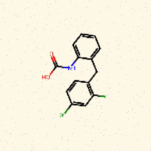 O=C(O)Nc1ccccc1Cc1ccc(Br)cc1F